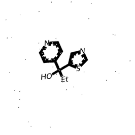 CCC(O)(c1ccncc1)c1cncs1